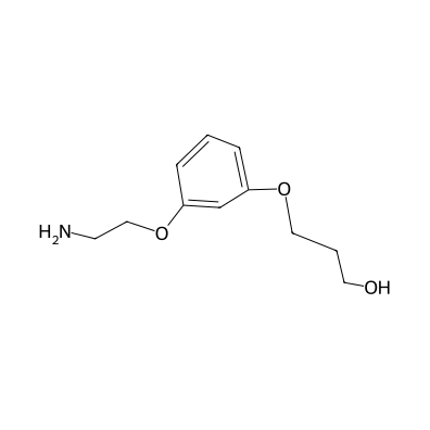 NCCOc1cccc(OCCCO)c1